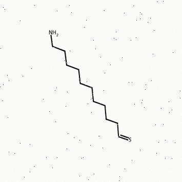 NCCCCCCCCCCC=S